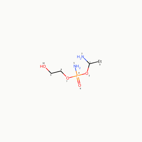 CCC(N)OP(N)(=O)OCCO